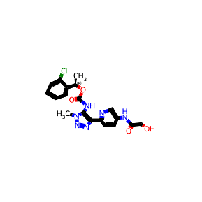 C[C@@H](OC(=O)Nc1c(-c2ccc(NC(=O)CO)cn2)nnn1C)c1ccccc1Cl